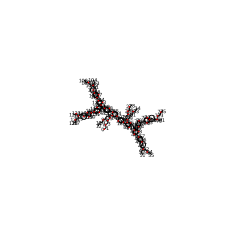 CCCCCCC1(CCCCCC)c2cc(-c3ccc4c(c3)C(CCCCCC)(CCCCCC)c3cc(-n5c6ccc(-c7ccc(OCC(CC)CCCC)cc7)cc6c6cc(-c7ccc(OCC(CC)CCCC)cc7)ccc65)ccc3-4)ccc2-c2ccc(-n3c4ccc(-c5ccc(OCC(CC)CCCC)cc5)cc4c4cc(-c5ccc(OCC(CC)CCCC)cc5)ccc43)cc21